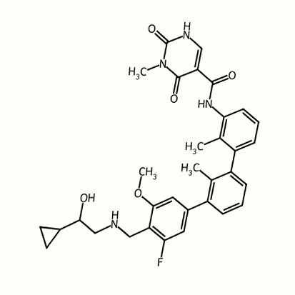 COc1cc(-c2cccc(-c3cccc(NC(=O)c4c[nH]c(=O)n(C)c4=O)c3C)c2C)cc(F)c1CNCC(O)C1CC1